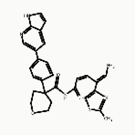 C=C(/C=C\C(=C/N)c1csc(C)n1)NC(=O)C1(c2ccc(-c3cnc4[nH]ccc4c3)cc2)CCOCC1